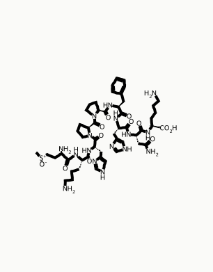 C[S+]([O-])CC[C@H](N)C(=O)N[C@@H](CCCCN)C(=O)N[C@@H](Cc1c[nH]cn1)C(=O)N1CCC[C@H]1C(=O)N1CCC[C@H]1C(=O)N[C@@H](Cc1ccccc1)C(=O)N[C@@H](Cc1c[nH]cn1)C(=O)N[C@@H](CC(N)=O)C(=O)N[C@@H](CCCCN)C(=O)O